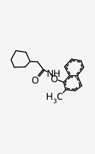 Cc1ccc2ccccc2c1ONC(=O)CC1CCCCC1